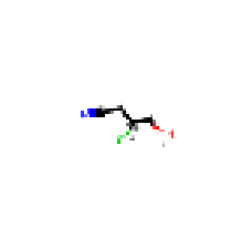 N#CC[C@H](Cl)CO